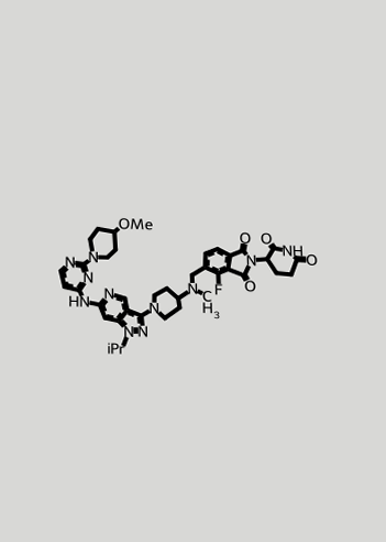 COC1CCN(c2nccc(Nc3cc4c(cn3)c(N3CCC(N(C)Cc5ccc6c(c5F)C(=O)N(C5CCC(=O)NC5=O)C6=O)CC3)nn4C(C)C)n2)CC1